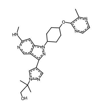 CNc1cc2c(cn1)c(-c1cnn(C(C)(C)CO)c1)nn2C1CCC(Oc2nccnc2C)CC1